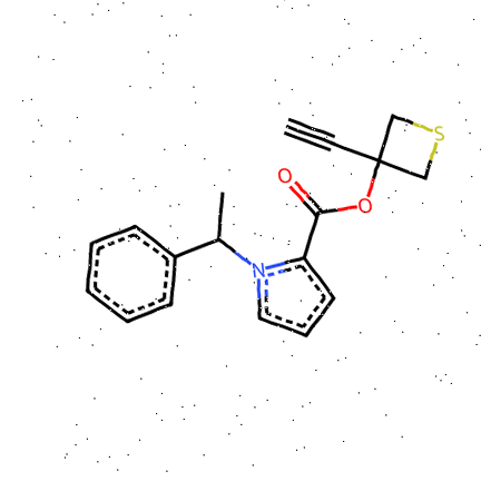 C#CC1(OC(=O)c2cccn2C(C)c2ccccc2)CSC1